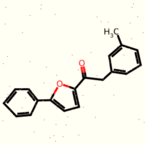 Cc1cccc(CC(=O)c2ccc(-c3ccccc3)o2)c1